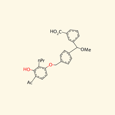 CCCc1c(OCc2ccc(C(OC)c3cccc(C(=O)O)c3)cc2)ccc(C(C)=O)c1O